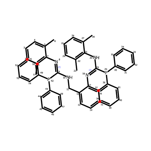 Cc1cccc(C)c1/N=C(/NCc1ccccc1/N=C(/Nc1c(C)cccc1C)P(c1ccccc1)c1ccccc1)P(c1ccccc1)c1ccccc1